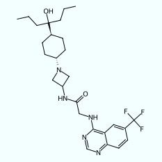 CCCC(O)(CCC)[C@H]1CC[C@H](N2CC(NC(=O)CNc3ncnc4ccc(C(F)(F)F)cc34)C2)CC1